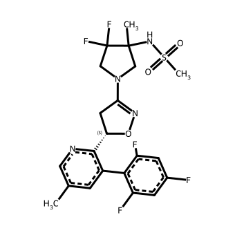 Cc1cnc([C@@H]2CC(N3CC(F)(F)C(C)(NS(C)(=O)=O)C3)=NO2)c(-c2c(F)cc(F)cc2F)c1